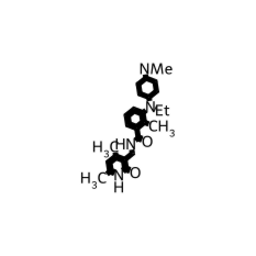 CCN(c1cccc(C(=O)NCc2c(C)cc(C)[nH]c2=O)c1C)C1CCC(NC)CC1